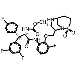 COC(=O)N[C@H](C(=O)Nc1cccc(F)c1OCC1CNC2CCCS(=O)(=O)N1C2)[C@@H](c1ccc(F)cc1)c1cc(F)cc(F)c1